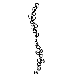 O=C(Oc1ccc(OCCCCOc2ccc(OC(=O)c3ccc(C(=O)Oc4ccc(OCC5CO5)cc4)s3)cc2)cc1)c1ccc(C(=O)Oc2ccc(OCC3CO3)cc2)s1